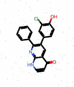 O=c1c#c[nH]c2nc(-c3ccccc3)c(-c3ccc(O)c(Cl)c3)cc12